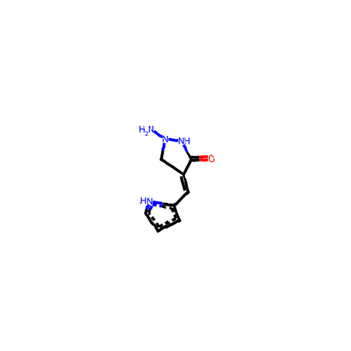 NN1CC(=Cc2ccc[nH]2)C(=O)N1